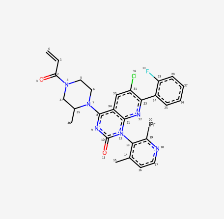 C=CC(=O)N1CCN(c2nc(=O)n(-c3c(C)ccnc3C(C)C)c3nc(-c4ccccc4F)c(Cl)cc23)C(C)C1